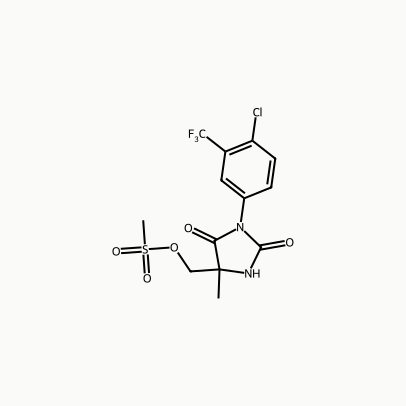 CC1(COS(C)(=O)=O)NC(=O)N(c2ccc(Cl)c(C(F)(F)F)c2)C1=O